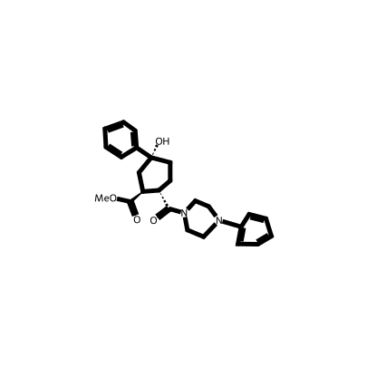 COC(=O)[C@H]1C[C@@](O)(c2ccccc2)CC[C@@H]1C(=O)N1CCN(c2ccccc2)CC1